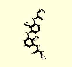 C=CC(=O)Oc1cccc(Oc2cccc(OC(=O)C=C)c2O)c1O